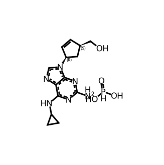 Nc1nc(NC2CC2)c2ncn([C@H]3C=C[C@@H](CO)C3)c2n1.O=[PH](O)O